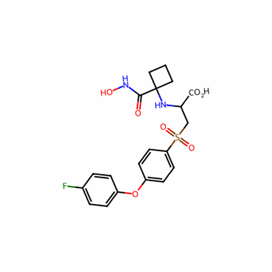 O=C(O)C(CS(=O)(=O)c1ccc(Oc2ccc(F)cc2)cc1)NC1(C(=O)NO)CCC1